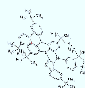 CC(C)(C)c1ccc(-c2cc(C(C)(C)C)ccc2N2c3ccc(C(C)(C)C)cc3B3c4sc5ccc(C(C)(C)C)cc5c4N(c4ccc5c(c4)C(C)(C)CC5(C)C)c4cc(C(C)(C)C)cc2c43)cc1